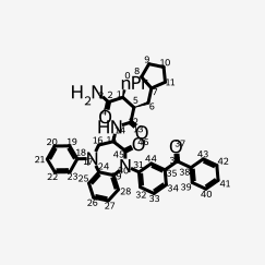 CCC[C@H](C(N)=O)[C@@H](CC1CCCC1)C(=O)NC1CN(c2ccccc2)c2ccccc2N(c2cccc(C(=O)c3ccccc3)c2)C1=O